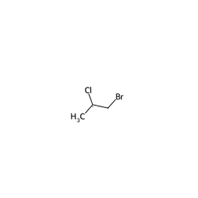 C[C](Cl)CBr